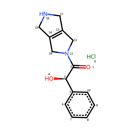 Cl.O=C([C@H](O)c1ccccc1)N1CC2=C(CNC2)C1